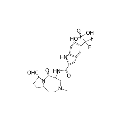 CN1CCC2CCC(C=O)N2C(=O)C(NC(=O)c2cc3cc(C(F)(F)P(=O)(O)O)ccc3[nH]2)C1